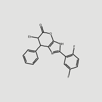 CCC1C(=O)Oc2[nH]c(-c3cc(F)ccc3F)nc2C1c1ccccc1